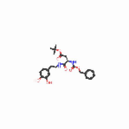 CC(C)(C)OC(=O)C[C@@H](NC(=O)OCc1ccccc1)C(=O)NCCc1ccc(O)c(O)c1